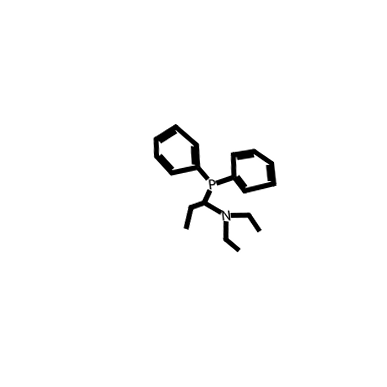 CCC(N(CC)CC)P(c1ccccc1)c1ccccc1